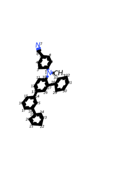 CN(c1ccc(C#N)cc1)c1ccc(-c2cccc(-c3ccccc3)c2)cc1-c1ccccc1